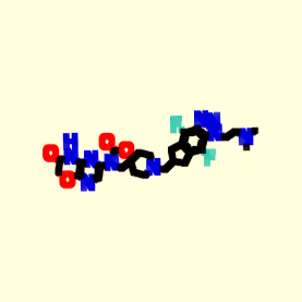 CN(C)CCn1nnc2c(F)c3c(c(F)c21)CC(CN1CCC2(CC1)CN(c1cnc4c(n1)NC(=O)CO4)C(=O)O2)C3